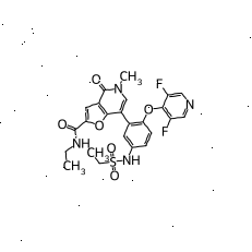 CCNC(=O)c1cc2c(=O)n(C)cc(-c3cc(NS(=O)(=O)CC)ccc3Oc3c(F)cncc3F)c2o1